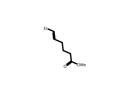 CCC=CCCCC(=O)OC